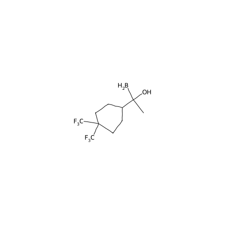 BC(C)(O)C1CCC(C(F)(F)F)(C(F)(F)F)CC1